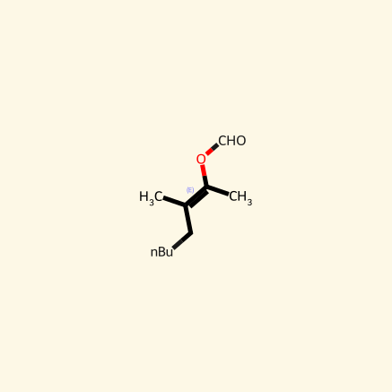 CCCCC/C(C)=C(\C)OC=O